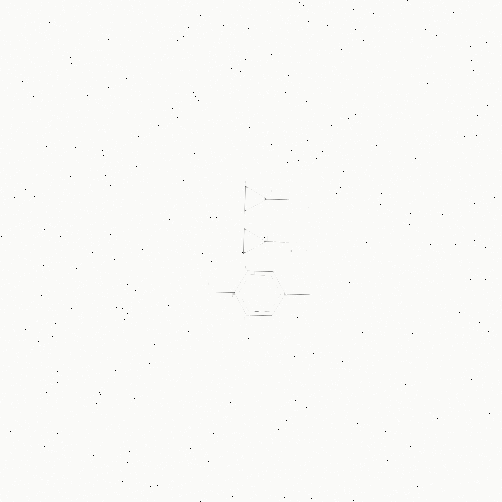 Cc1ccc(S(=O)(=O)O)cc1.O=C(O)C1CC1.O=C(O)C1CC1